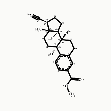 COC(=O)c1ccc2c(c1)CC[C@@H]1[C@@H]2CC[C@]2(C)[C@@H](C#N)CC[C@@H]12